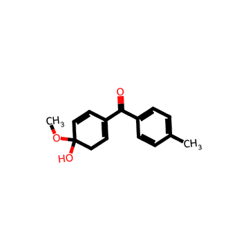 COC1(O)C=CC(C(=O)c2ccc(C)cc2)=CC1